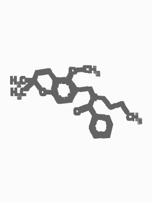 CCCCN(Cc1ccc2c(c1OC)C=CC(C)(C)O2)C(=O)c1ccccc1